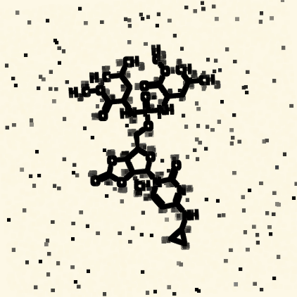 COC(=O)C(CC(C)C)NP(=O)(NC(CC(C)C)C(=O)OC)OC[C@H]1O[C@@H](n2ccc(NC3CC3)nc2=O)[C@@]2(C)OC(=O)OC12